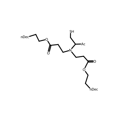 CCCCCCCCCCCCOC(=O)CCN(CCC(=O)OCCCCCCCCCCCC)C(CS)C(C)=O